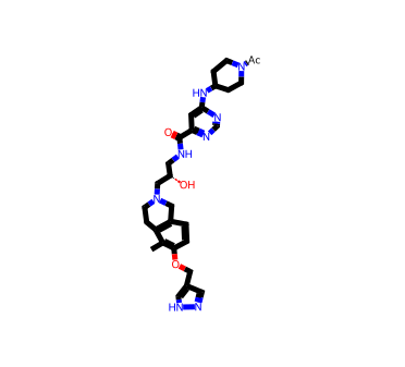 CC(=O)N1CCC(Nc2cc(C(=O)NC[C@H](O)CN3CCc4c(ccc(OCc5cn[nH]c5)c4C)C3)ncn2)CC1